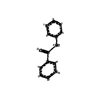 O=C(Nc1cccnc1)c1cccnc1